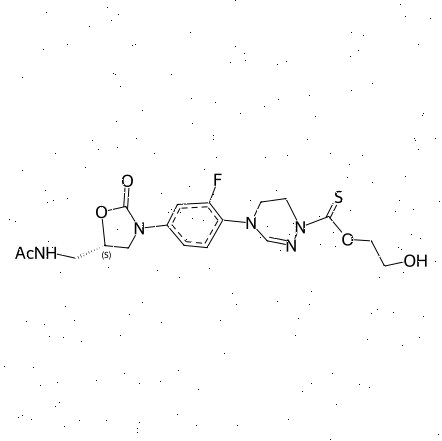 CC(=O)NC[C@H]1CN(c2ccc(N3C=NN(C(=S)OCCO)CC3)c(F)c2)C(=O)O1